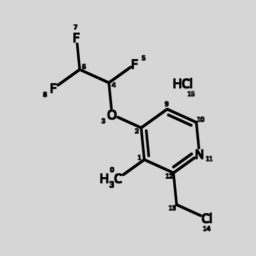 Cc1c(OC(F)C(F)F)ccnc1CCl.Cl